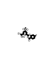 CCC(c1cc(S(C)(=O)=O)cc(-c2nc(=O)c3ccc(F)cc3s2)n1)C(C)(C)C